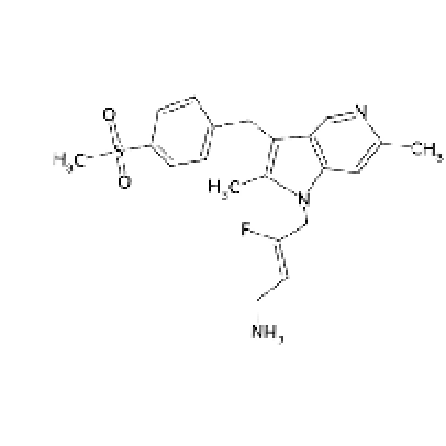 Cc1cc2c(cn1)c(Cc1ccc(S(C)(=O)=O)cc1)c(C)n2C/C(F)=C/CN